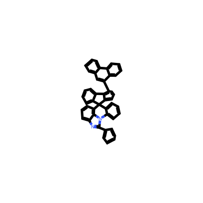 c1ccc(-c2nc3cccc4c3n2-c2ccccc2C42c3ccccc3-c3c(-c4cc5ccccc5c5ccccc45)cccc32)cc1